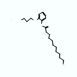 O=C(O)CCCOc1ccccc1NC(=O)CCCCCCCCCCBr